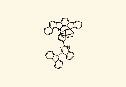 c1ccc2c(c1)-c1ccc3c4ccc5ccccc5c4n(-c4ccc(-c5nc(-n6c7ccccc7c7ccccc76)c6ccccc6n5)cc4)c3c1C21C2CC3CC(C2)CC1C3